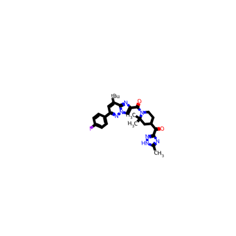 Cc1nc(C(=O)C2CCN(C(=O)c3cn4nc(-c5ccc(I)cc5)cc(C(C)(C)C)c4n3)C(C)(C)C2)n[nH]1